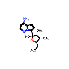 CC(=O)OC[C@H]1O[C@@](C#N)(c2ccc3c(N)ccnn23)[C@H](OC(C)=O)[C@@H]1OC(C)=O